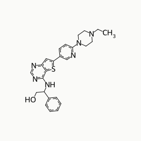 CCN1CCN(c2ccc(-c3cc4ncnc(NC(CO)c5ccccc5)c4s3)cn2)CC1